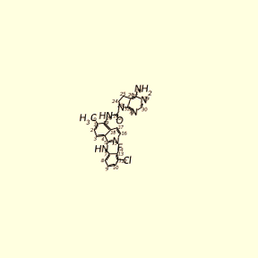 Cc1ccc2c(Nc3cccc(Cl)c3F)nccc2c1NC(=O)N1CCc2c(N)ncnc21